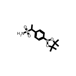 CC(c1ccc(B2OC(C)(C)C(C)(C)O2)cc1)S(N)(=O)=O